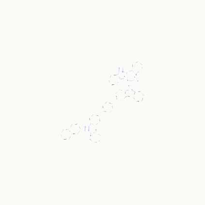 c1ccc2cc(-n3c4ccccc4c4cc(-c5ccc(-c6ccc7c(c6)c6ccccc6n7-c6nc7ccccc7c7nc8ccccc8n67)cc5)ccc43)ccc2c1